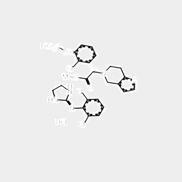 COC(=O)[C@H](c1ccccc1Cl)N1CCc2sccc2C1.Cl.Clc1cccc(Cl)c1N=C1NCCN1.O=S(=O)(O)O